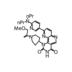 C=C(COC)N1CCC(n2c(=O)[nH]c(=O)c3cnc4ccc(-c5ccc(N(CCC)CCC)nc5)nc4c32)CC1